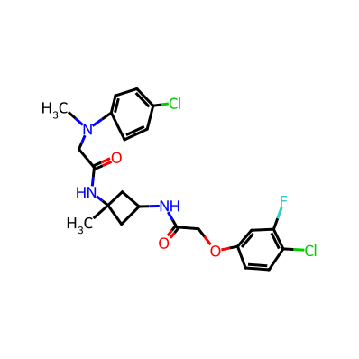 CN(CC(=O)NC1(C)CC(NC(=O)COc2ccc(Cl)c(F)c2)C1)c1ccc(Cl)cc1